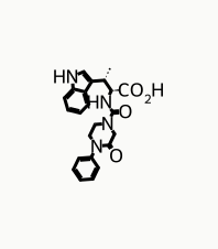 C[C@@H](c1c[nH]c2ccccc12)[C@@H](NC(=O)N1CCN(c2ccccc2)C(=O)C1)C(=O)O